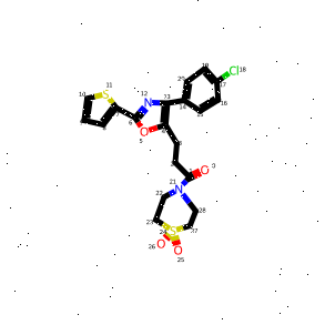 O=C(CCc1oc(-c2cccs2)nc1-c1ccc(Cl)cc1)N1CCS(=O)(=O)CC1